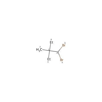 CCC(C)(CC)C(Br)Br